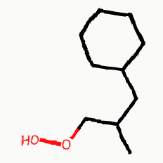 CC(COO)CC1CCCCC1